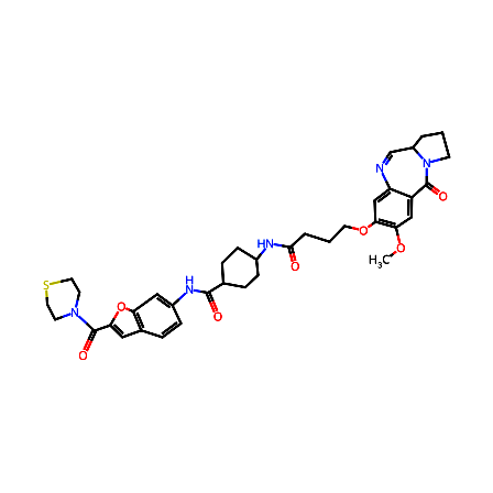 COc1cc2c(cc1OCCCC(=O)NC1CCC(C(=O)Nc3ccc4cc(C(=O)N5CCSCC5)oc4c3)CC1)N=CC1CCCN1C2=O